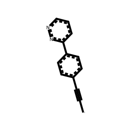 [CH2]C#Cc1ccc(-c2cccnn2)cc1